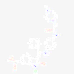 COC(=O)c1ccc2c(c1)N(Cl)C(=O)/C2=C(\Nc1ccc(N(C)C(=O)CN2CCN(C)CC2)cc1)c1ccccc1